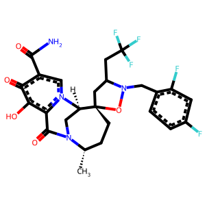 C[C@H]1CC[C@]2(CC(CC(F)(F)F)N(Cc3ccc(F)cc3F)O2)[C@H]2CN1C(=O)c1c(O)c(=O)c(C(N)=O)cn12